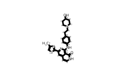 Cc1csc(-c2cc3cc[nH]c(=O)c3c(Nc3ccc(CCN4CCC(O)CC4)cc3)n2)n1